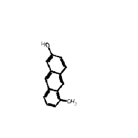 Cc1cccc2cc3cc(O)ccc3cc12